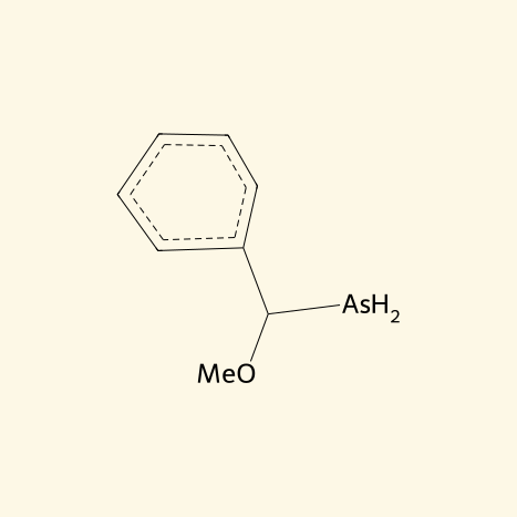 COC([AsH2])c1ccccc1